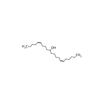 CCCC/C=C\CCCC(O)[CH]CCC/C=C\CCCCC